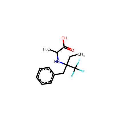 CCC(Cc1ccccc1)(NC(C)C(=O)O)C(F)(F)F